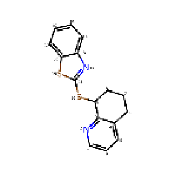 c1cnc2c(c1)CCCC2Sc1nc2ccccc2s1